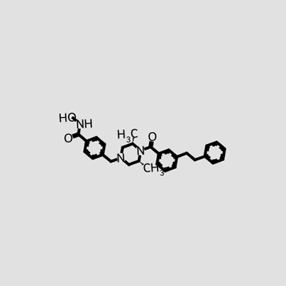 C[C@@H]1CN(Cc2ccc(C(=O)NO)cc2)C[C@H](C)N1C(=O)c1cccc(CCc2ccccc2)c1